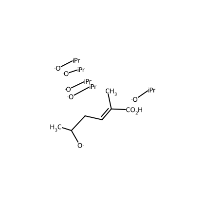 CC(=CCC(C)[O])C(=O)O.[CH2]C(C)[O].[CH2]C(C)[O].[CH2]C(C)[O].[CH2]C(C)[O].[CH2]C(C)[O]